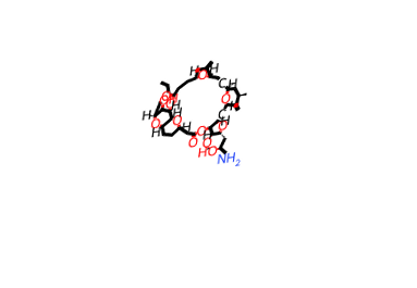 C=C1C[C@@H]2CC[C@]3(CCC)OC[C@@H]4O[C@H]5CC[C@H](CC(=O)O[C@@H]6[C@@H](OC)[C@@H](C[C@H](O)CN)O[C@H]6C[C@H]6O[C@@H](CC[C@@H]1O2)C[C@@H](C)C6=C)O[C@@H]5[C@H](O3)C4O